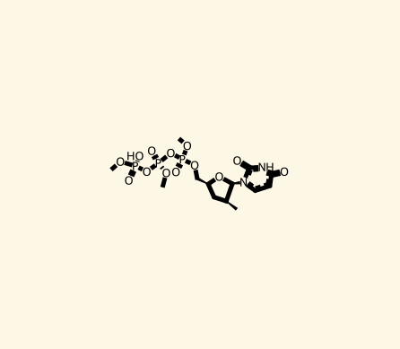 COP(=O)(O)OP(=O)(OC)OP(=O)(OC)OC[C@@H]1C[C@H](C)[C@H](n2ccc(=O)[nH]c2=O)O1